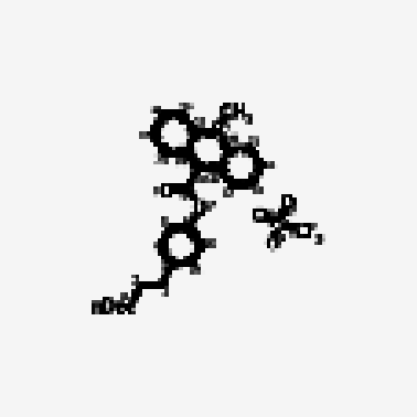 CCCCCCCCCCCCc1ccc(OC(=O)c2c3ccccc3[n+](C)c3ccccc23)cc1.O=S(=O)([O-])C(F)(F)F